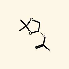 C=C(C)C[C@H]1COC(C)(C)O1